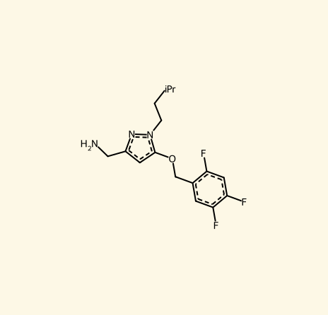 CC(C)CCn1nc(CN)cc1OCc1cc(F)c(F)cc1F